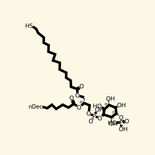 CCCCCCCCCCCCCCCC(=O)O[C@H](COC(=O)CCCCCCCCCCCCCCS)COP(=O)(O)OC1C(O)[C@H](O)C(O)[C@H](OP(=O)(O)O)[C@@H]1O